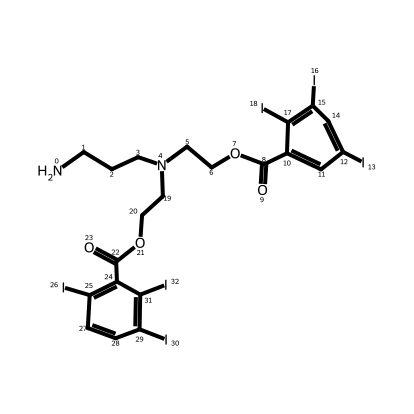 NCCCN(CCOC(=O)c1cc(I)cc(I)c1I)CCOC(=O)c1c(I)ccc(I)c1I